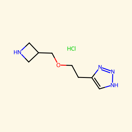 Cl.c1[nH]nnc1CCOCC1CNC1